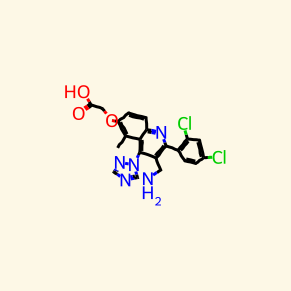 Cc1c(OCC(=O)O)ccc2nc(-c3ccc(Cl)cc3Cl)c(CN)c(-n3cncn3)c12